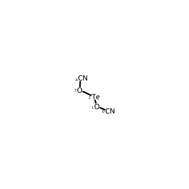 N#CO[Te]OC#N